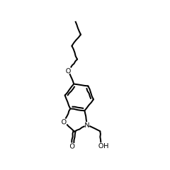 CCCCOc1ccc2c(c1)oc(=O)n2CO